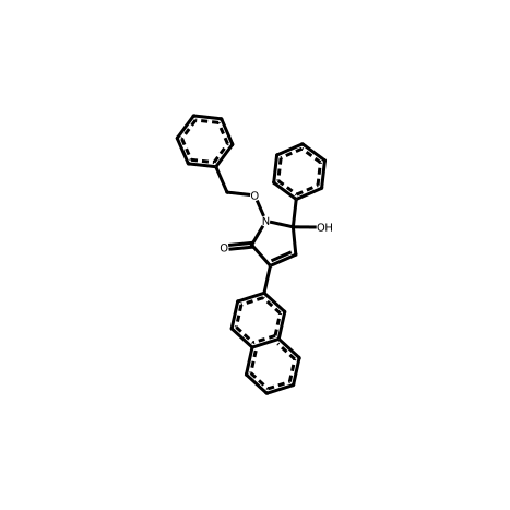 O=C1C(c2ccc3ccccc3c2)=CC(O)(c2ccccc2)N1OCc1ccccc1